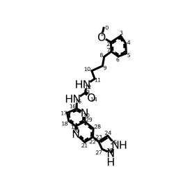 COc1ccccc1CCCCNC(=O)Nc1ccc2ncc(C3=CNNC3)cc2n1